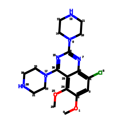 COc1cc(Cl)c2nc(N3CCNCC3)nc(N3CCNCC3)c2c1OC